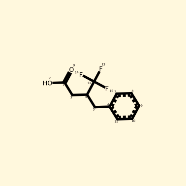 O=C(O)CC(Cc1ccccc1)C(F)(F)F